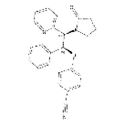 N#Cc1ccc(O[C@@H](c2ccccc2)[C@@H](c2ccccn2)N2CCCC2=O)cc1